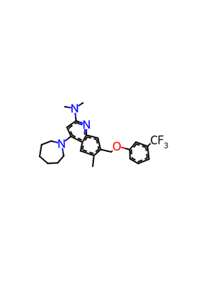 Cc1cc2c(N3CCCCCC3)cc(N(C)C)nc2cc1COc1cccc(C(F)(F)F)c1